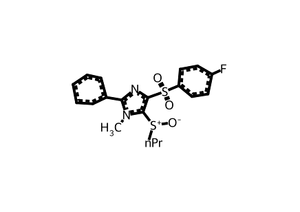 CCC[S+]([O-])c1c(S(=O)(=O)c2ccc(F)cc2)nc(-c2ccccc2)n1C